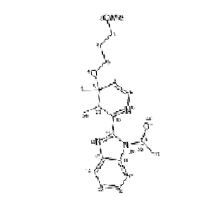 COCCCOC1(C)C=CN=C(c2nc3ccccc3n2[S+](C)[O-])C1C